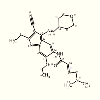 CCOc1cc2nc(CC)c(C#N)c(NCC3CCOCC3)c2cc1NC(=O)/C=C/CN(C)C